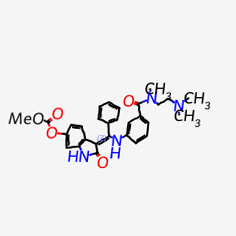 COC(=O)Oc1ccc2c(c1)NC(=O)/C2=C(\Nc1cccc(C(=O)N(C)CCN(C)C)c1)c1ccccc1